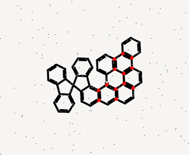 c1ccc(-c2ccccc2-c2c(-c3ccccc3)cccc2N(c2ccccc2-c2ccccc2)c2cccc3c2-c2ccccc2C32c3ccccc3-c3ccccc32)cc1